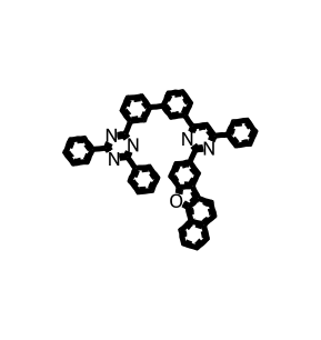 c1ccc(-c2cc(-c3cccc(-c4cccc(-c5nc(-c6ccccc6)nc(-c6ccccc6)n5)c4)c3)nc(-c3ccc4oc5c6ccccc6ccc5c4c3)n2)cc1